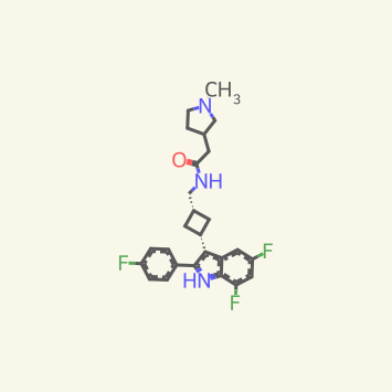 CN1CCC(CC(=O)NC[C@H]2C[C@@H](c3c(-c4ccc(F)cc4)[nH]c4c(F)cc(F)cc43)C2)C1